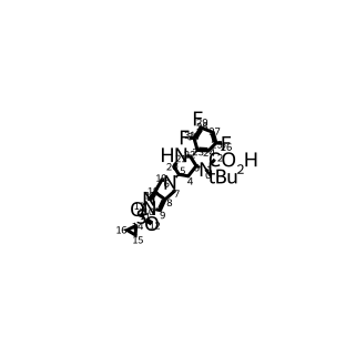 CC(C)(C)N(C(=O)O)[C@H]1C[C@@H](N2Cc3cn(S(=O)(=O)C4CC4)nc3C2)CN[C@@H]1c1cc(F)cc(F)c1F